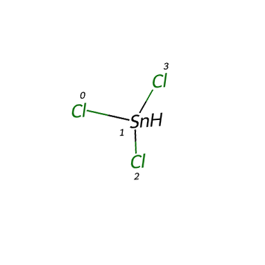 [Cl][SnH]([Cl])[Cl]